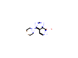 COc1nccc2c(N3CCSCC3)ncnc12